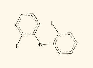 Ic1ccccc1[N]c1ccccc1I